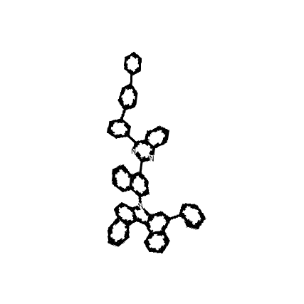 c1ccc(-c2ccc(-c3cccc(-c4nc(-c5ccc(-n6c7ccc8ccccc8c7c7c8ccccc8c(-c8ccccc8)cc76)c6ccccc56)nc5ccccc45)c3)cc2)cc1